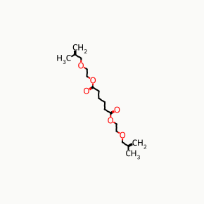 C=C(C)COCCOC(=O)CCCCC(=O)OCCOCC(=C)C